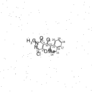 COc1c(Cl)nn(C)c(=O)c1C(=O)c1cccc2ccccc12